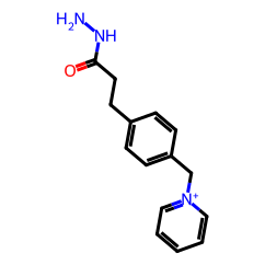 NNC(=O)CCc1ccc(C[n+]2ccccc2)cc1